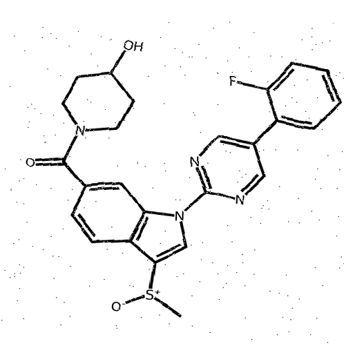 C[S+]([O-])c1cn(-c2ncc(-c3ccccc3F)cn2)c2cc(C(=O)N3CCC(O)CC3)ccc12